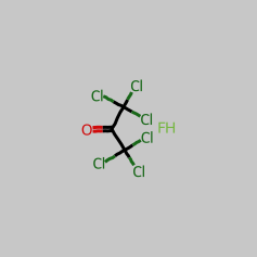 F.O=C(C(Cl)(Cl)Cl)C(Cl)(Cl)Cl